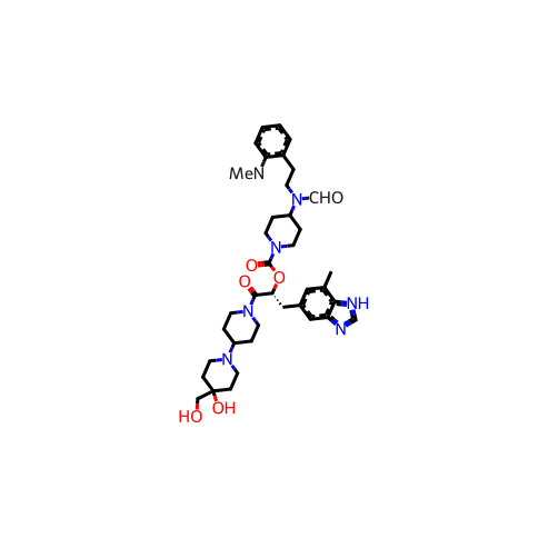 CNc1ccccc1CCN(C=O)C1CCN(C(=O)O[C@H](Cc2cc(C)c3[nH]cnc3c2)C(=O)N2CCC(N3CCC(O)(CO)CC3)CC2)CC1